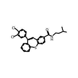 CC(C)CCNC(=O)c1ccc2c(c1)C=C(c1ccc(Cl)c(Cl)c1)c1ccccc1S2